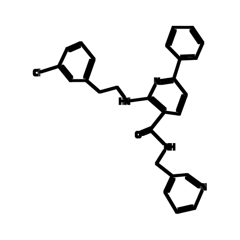 O=C(NCc1cccnc1)c1ccc(-c2ccccc2)nc1NCCc1cccc(Cl)c1